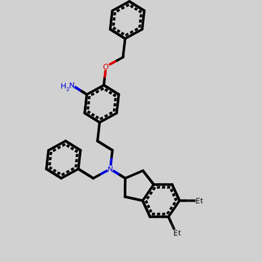 CCc1cc2c(cc1CC)CC(N(CCc1ccc(OCc3ccccc3)c(N)c1)Cc1ccccc1)C2